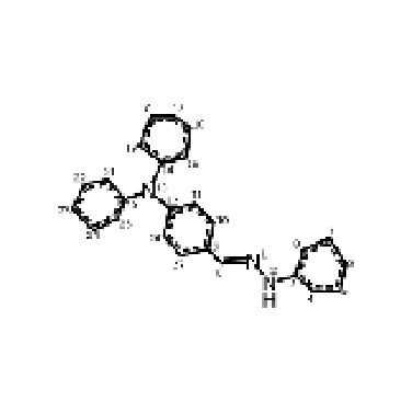 C(=N\Nc1ccccc1)/c1ccc(N(c2ccccc2)c2ccccc2)cc1